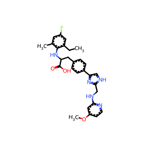 CCc1cc(F)cc(C)c1NC(Cc1ccc(-c2c[nH]c(CNc3cc(OC)ccn3)n2)cc1)C(=O)O